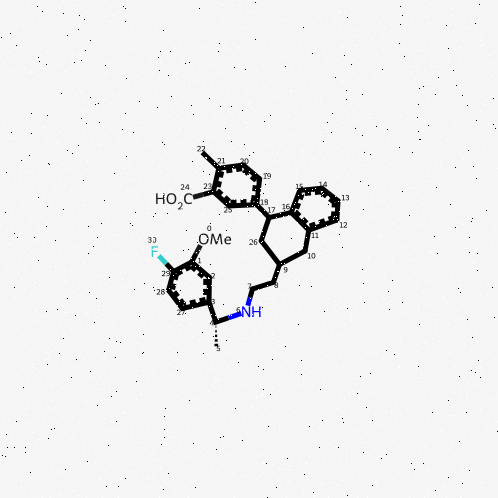 COc1cc([C@@H](C)NCCC2Cc3ccccc3C(c3ccc(C)c(C(=O)O)c3)C2)ccc1F